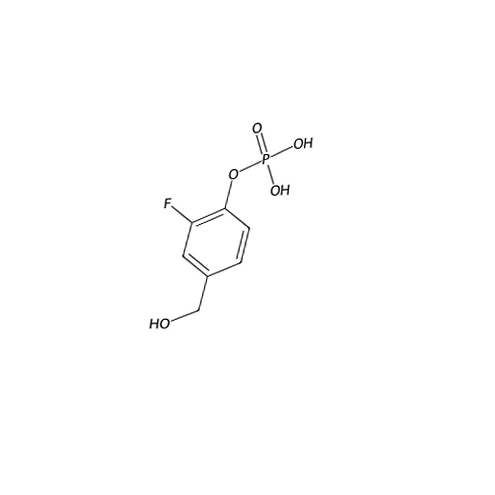 O=P(O)(O)Oc1ccc(CO)cc1F